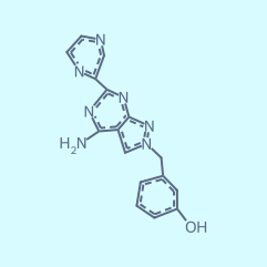 Nc1nc(-c2cnccn2)nc2nn(Cc3cccc(O)c3)cc12